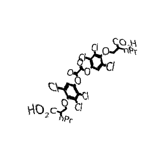 CCCC(COc1c(Cl)cc(OC(=O)C(=O)Oc2cc(Cl)c(OCC(CCC)C(=O)O)c(Cl)c2Cl)c(Cl)c1Cl)C(=O)O